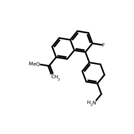 C=C(OC)c1ccc2ccc(F)c(C3=CC=C(CN)CC3)c2c1